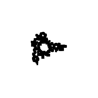 CC[C@H]1OC(=O)[C@H](C)[C@@H](O[C@H]2C[C@@](C)(OC)[C@@H](O)[C@H](C)O2)[C@H](C)[C@@H](O[C@@H]2OCC[C@H](N(C)CCc3cn(CCCOc4ccc(I)cc4)nn3)[C@H]2O)[C@](C)(O)C[C@@H](C)CN(C)[C@H](C)[C@@H](O)[C@]1(C)O